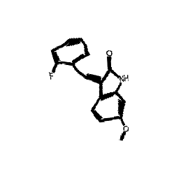 COc1ccc2c(c1)NC(=O)C2=Cc1ccccc1F